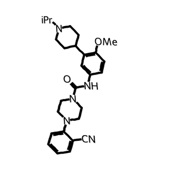 COc1ccc(NC(=O)N2CCN(c3ccccc3C#N)CC2)cc1C1CCN(C(C)C)CC1